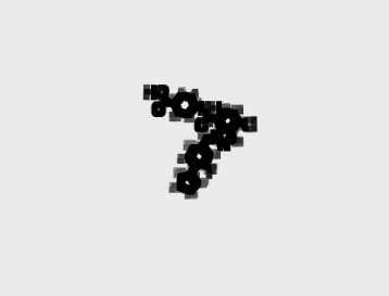 O=C(NC1CCC(C(=O)O)CC1)c1ccc(Cl)c2cnn(Cc3ccc(C4=CCCC4)c(F)c3)c12